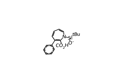 CC(C)(C)[S@+]([O-])N1C=CC=CC(c2ccccc2)=C1C(=O)O